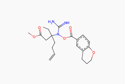 C=CCCC(CC)(CC(=O)OC)N(OC(=O)c1ccc2c(c1)CCCO2)C(=N)N